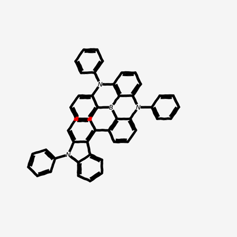 c1ccc(N2c3ccccc3B3c4c(-c5cccc6c5c5ccccc5n6-c5ccccc5)cccc4N(c4ccccc4)c4cccc2c43)cc1